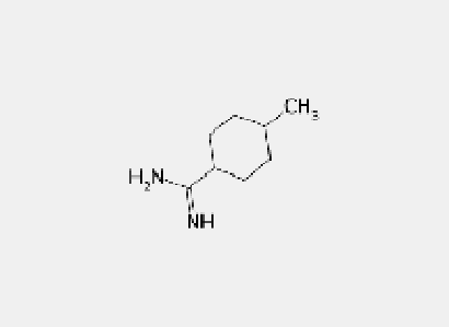 CC1CCC(C(=N)N)CC1